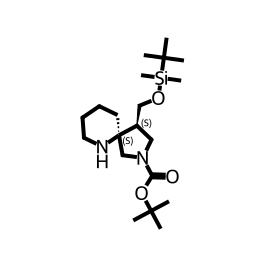 CC(C)(C)OC(=O)N1C[C@H](CO[Si](C)(C)C(C)(C)C)[C@@]2(CCCCN2)C1